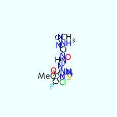 COC(=O)C1=C(CN2CCN3C(=O)N(c4ccc5[nH]c(C6CCCN6C)nc5c4)C[C@@H]3C2)NC(c2nccs2)=N[C@H]1c1ccc(F)cc1Cl